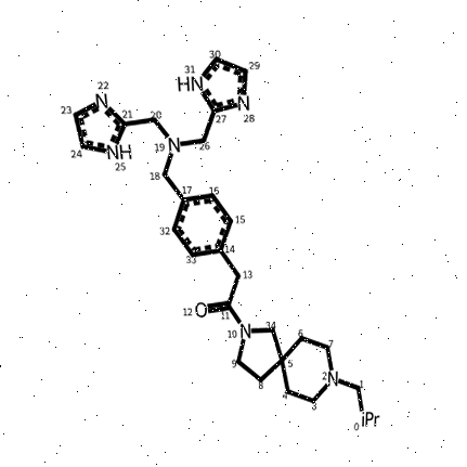 CC(C)CN1CCC2(CC1)CCN(C(=O)Cc1ccc(CN(Cc3ncc[nH]3)Cc3ncc[nH]3)cc1)C2